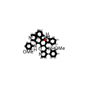 COc1ccccc1NC(c1cccnc1)C(C(=O)C(c1c[nH]c2ccccc12)C(Nc1ccccc1OC)c1cccnc1)c1c[nH]c2ccccc12